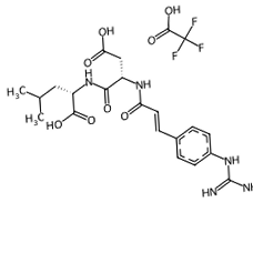 CC(C)C[C@H](NC(=O)[C@H](CC(=O)O)NC(=O)C=Cc1ccc(NC(=N)N)cc1)C(=O)O.O=C(O)C(F)(F)F